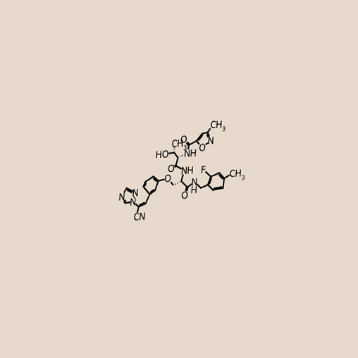 Cc1ccc(CNC(=O)[C@H](COc2cccc(C=C(C#N)n3cncn3)c2)NC(=O)[C@@H](NC(=O)c2cc(C)no2)[C@@H](C)O)c(F)c1